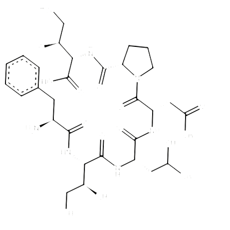 CC[C@H](C)[C@H](NC(=O)[C@@H]1CCCN1C(=O)[C@H](CC(=O)O)NC(=O)[C@H](CC(C)C)NC(=O)[C@@H](NC(=O)[C@@H](N)Cc1ccccc1)[C@@H](C)CC)C(=O)O